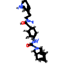 O=C(NCCc1cccnc1)c1ccc(NC(=O)N2Cc3ccccc3C2)cc1